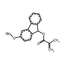 C=C(C)C(=O)OC1c2ccccc2-c2cc(OC(C)(C)C)ccc21